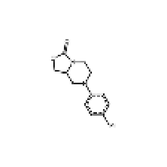 CC(C)c1ccc(N2CCN3C(=O)OCC3C2)cc1